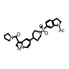 CC(=O)N1CCc2ccc(S(=O)(=O)N3CCC(c4ccn5ncc(C(=O)N6CCCC6)c5c4)CC3)cc21